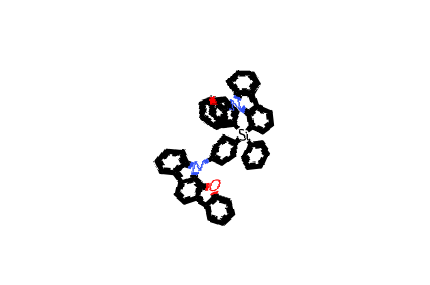 c1ccc(-n2c3ccccc3c3cccc([Si](c4ccccc4)(c4ccccc4)c4ccc(-n5c6ccccc6c6ccc7c8ccccc8oc7c65)cc4)c32)cc1